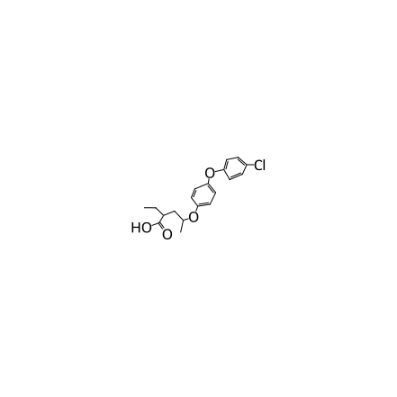 CCC(CC(C)Oc1ccc(Oc2ccc(Cl)cc2)cc1)C(=O)O